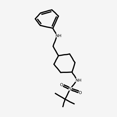 CC(C)(C)S(=O)(=O)NC1CCC(CNc2ccccc2)CC1